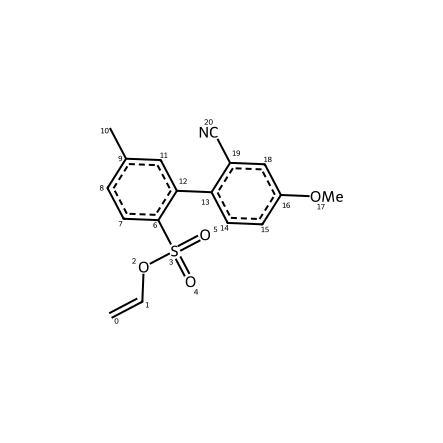 C=COS(=O)(=O)c1ccc(C)cc1-c1ccc(OC)cc1C#N